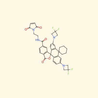 O=C(NCCN1C(=O)C=CC1=O)c1ccc2c(c1)C1(OC2=O)c2ccc(N3CC(F)(F)C3)cc2[Si]2(CCCCC2)c2cc(N3CC(F)(F)C3)ccc21